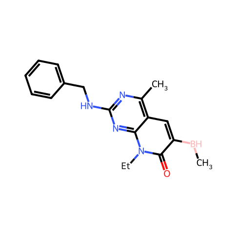 CBc1cc2c(C)nc(NCc3ccccc3)nc2n(CC)c1=O